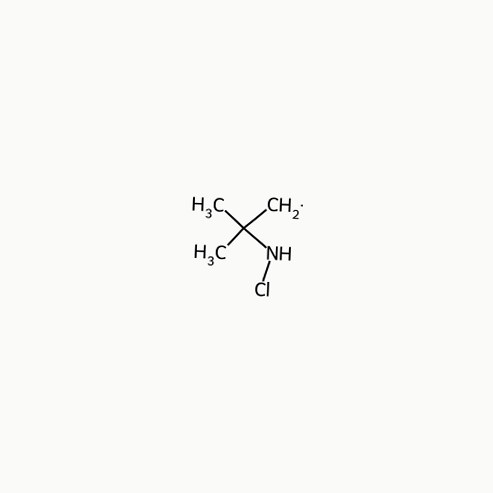 [CH2]C(C)(C)NCl